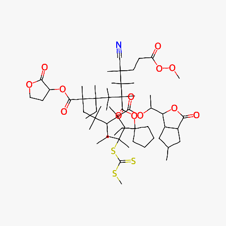 CCC(C(C)(C)CC(C)(C(=O)OC1CCOC1=O)C(C)(CC)C(C)(C)C(C)(C(=O)OC1(CC)CCCC1)C(C)(C)C(C)(C#N)CCC(=O)OOC)C(C)(CC(C)(C)SC(=S)SC)C(=O)OC(C)C1OC(=O)C2CC(C)CC21